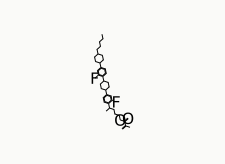 C=C(C)C(=O)OCCCC(C)c1ccc(C2CCC(c3ccc(C4CCC(CCCCC)CC4)cc3F)CC2)cc1F